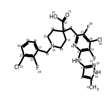 Cc1cc(Nc2nc(CC3(C(=O)O)CCN(Cc4cccc(Cl)c4F)CC3)c(F)c(Cl)c2F)n[nH]1